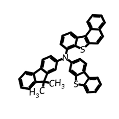 CC1(C)c2ccccc2-c2ccc(N(c3ccc4c(c3)sc3ccccc34)c3cccc4c3sc3ccc5ccccc5c34)cc21